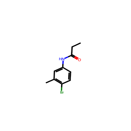 CCC(=O)Nc1ccc(Br)c(C)c1